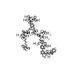 CCC1(C)CC2(C)CC(Cn3ncc(-c4ccc(-c5ccc6c(c5)N(C(=O)Nc5nc7ccccc7s5)CCC6)nc4C(=O)O)c3C)CC(OCCN(C)C(=O)OCc3ccc(O[C@@H]4O[C@H](C(=O)O)C[C@H](O)[C@H]4O)cc3OCCCNC(=O)[C@H](C)NC(=O)CCCCCN3C(=O)C=CC3=O)(C1)C2